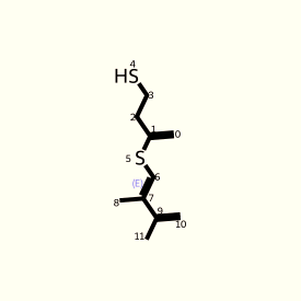 C=C(CCS)S/C=C(\C)C(=C)C